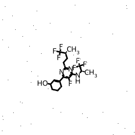 C[C@@H](CCc1nc(N[C@H](C)C(F)(F)F)c(F)c(C2=CC(O)CCC2)n1)C(F)(F)F